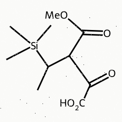 COC(=O)C(C(=O)C(=O)O)C(C)[Si](C)(C)C